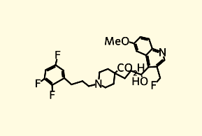 COc1ccc2ncc(CF)c([C@H](O)CCC3(C(=O)O)CCN(CCCc4cc(F)cc(F)c4F)CC3)c2c1